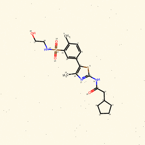 Cc1ccc(-c2sc(NC(=O)CC3CCCC3)nc2C)cc1S(=O)(=O)NCCO